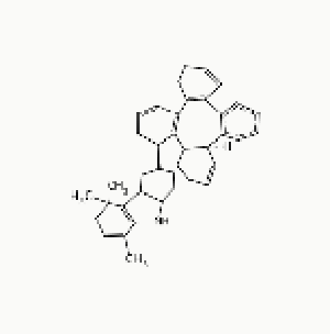 CC1=CCC(C)(C)C2=C1NC1CCC([C@H]3CC=CC4=C3C3CCC=C[C@@H]3c3ccccc3C3=C4CCC=C3)CC21